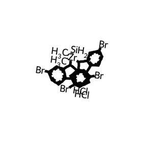 Cl.Cl.[CH3][Zr]([CH3])(=[SiH2])([CH]1c2cc(Br)ccc2-c2ccc(Br)cc21)[CH]1c2cc(Br)ccc2-c2ccc(Br)cc21